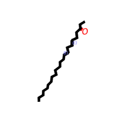 CCCCCCCCCCCCC/C=C/C/C=C/CCC(=O)CC